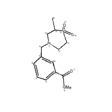 COC(=O)c1cccc(CN2CCS(=O)(=O)C(C)C2)c1